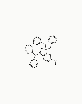 COc1ccc2c(c1)C(Cc1ccccc1)(Cc1ccccc1)CN2C(c1ccccc1)c1ccccc1